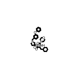 N#CC1(NC(=O)C(CC2CCCCC2)NC(=O)N2CCOCC2)CCN(Cc2cccc(Oc3ccccc3)c2)C1